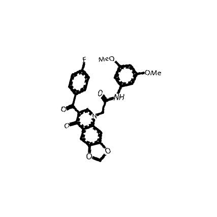 COc1cc(NC(=O)Cn2cc(C(=O)c3ccc(F)cc3)c(=O)c3cc4c(cc32)OCO4)cc(OC)c1